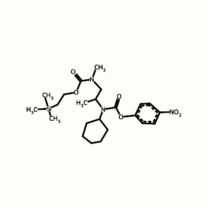 CC(CN(C)C(=O)OCC[Si](C)(C)C)N(C(=O)Oc1ccc([N+](=O)[O-])cc1)C1CCCCC1